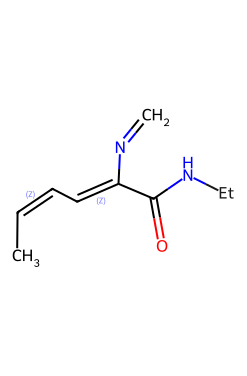 C=N/C(=C\C=C/C)C(=O)NCC